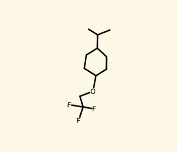 CC(C)C1CCC(OCC(F)(F)F)CC1